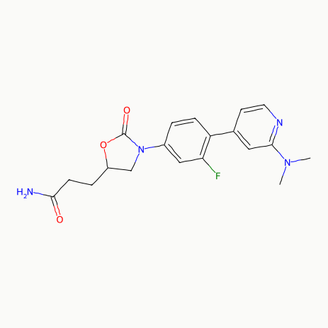 CN(C)c1cc(-c2ccc(N3CC(CCC(N)=O)OC3=O)cc2F)ccn1